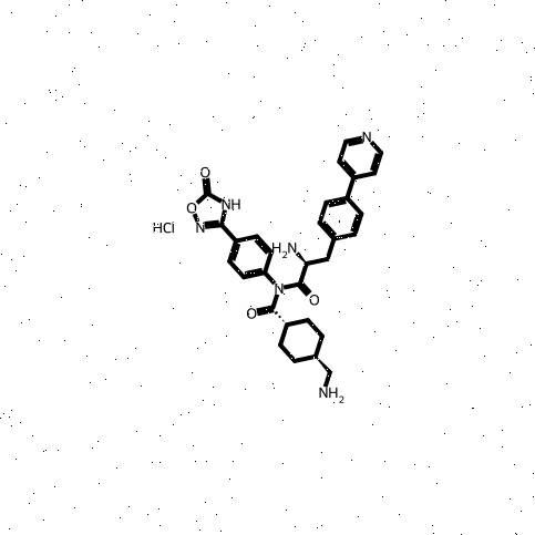 Cl.NC[C@H]1CC[C@H](C(=O)N(C(=O)[C@@H](N)Cc2ccc(-c3ccncc3)cc2)c2ccc(-c3noc(=O)[nH]3)cc2)CC1